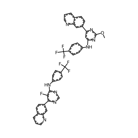 COc1nc(Nc2ccc(C(F)(F)F)cc2)cc(-c2ccc3cccnc3c2)n1.Fc1c(Nc2ccc(C(F)(F)F)cc2)ncnc1-c1ccc2cccnc2c1